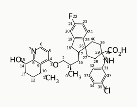 C[C@@H](COc1ccnc2c1[C@H](C)CC[C@H]2O)CC1Cc2cc(F)ccc2C12CCC(Nc1cccc(Cl)c1)(C(=O)O)CC2